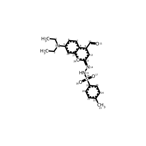 CCN(CC)c1ccc2c(C=O)cc(=NNS(=O)(=O)c3ccc(C)cc3)oc2c1